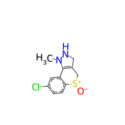 CN1NCC2=C1c1cc(Cl)ccc1[S+]([O-])C2